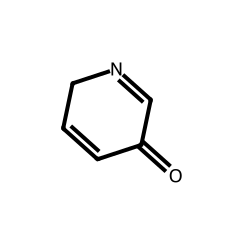 O=C1C=CCN=C1